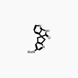 CNc1cnc2c(c1)CC1(C2)C(=O)Nc2ncccc21